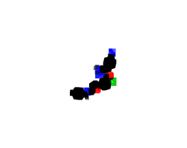 Cc1ccc([C@@H](C)NCc2ccc(-c3ccc(Cl)c(C(=O)N[C@H](Cc4ccc(C#N)cc4)CN(C)C)c3)o2)cc1